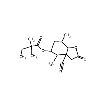 CCC(C)(C)C(=O)OC1CC(C)C2OC(=O)CC2(C#N)C1C